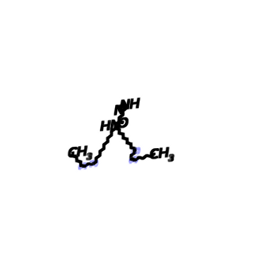 CCCCC/C=C\C/C=C\CCCCCCCCCC(CCCCCCCC/C=C\C/C=C\CCCCC)NC(=O)CCc1c[nH]cn1